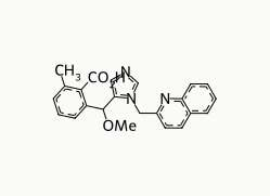 COC(c1cccc(C)c1C(=O)O)c1cncn1Cc1ccc2ccccc2n1